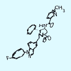 Cn1ccc(C(=O)N[C@H]2CS(=O)(=O)N(c3ccc4c(cnn4-c4ccc(F)cc4)c3)[C@@H]2c2ccccc2)n1